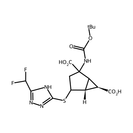 CC(C)(C)OC(=O)NC1(C(=O)O)CC(Sc2nnc(C(F)F)[nH]2)[C@@H]2C1[C@H]2C(=O)O